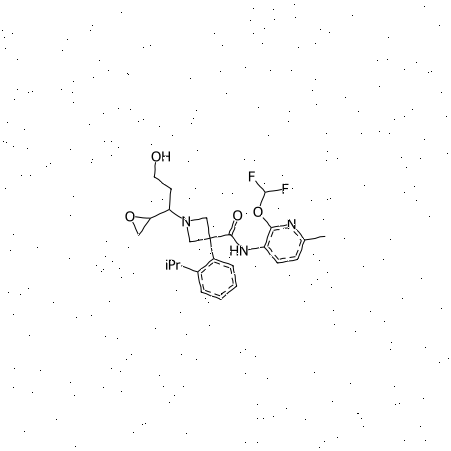 Cc1ccc(NC(=O)C2(c3ccccc3C(C)C)CN(C(CCO)C3CO3)C2)c(OC(F)F)n1